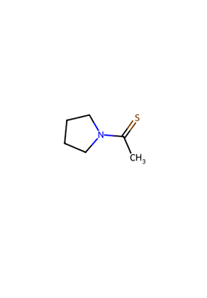 CC(=S)N1CCCC1